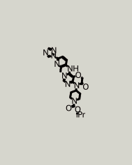 Cc1nc(-n2cncn2)ccc1Nc1ncnc2c1OCC(=O)N2C1CCN(C(=O)OC(C)C)CC1